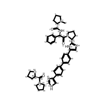 CN1CCC[C@H]1C(=O)N[C@@H](C(=O)N1CCC[C@H]1c1ncc(-c2ccc(-c3ccc(-c4c[nH]c([C@@H]5CCCN5C(=O)[C@H]5CCCO5)n4)cc3)cc2)[nH]1)c1ccccc1